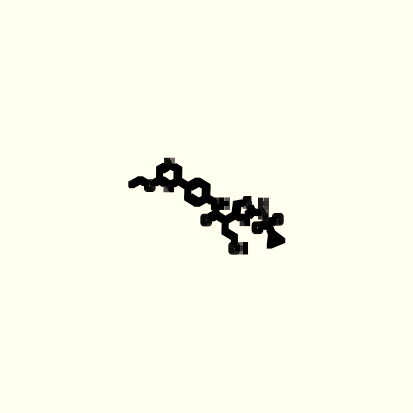 CCOc1cncc(-c2ccc(NC(=O)C(CCO)c3csc(NS(=O)(=O)C4CC4)n3)cc2)n1